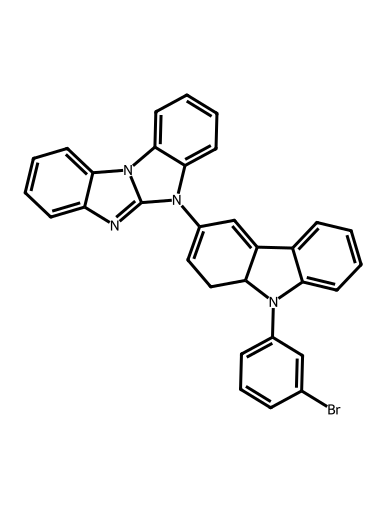 Brc1cccc(N2c3ccccc3C3=CC(n4c5ccccc5n5c6ccccc6nc45)=CCC32)c1